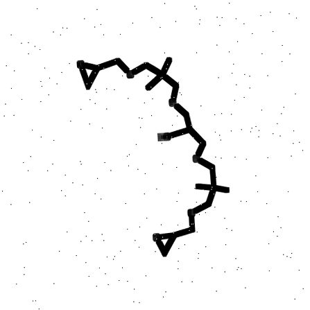 CC(C)(COCC(O)COCC(C)(C)COCC1CO1)COCC1CO1